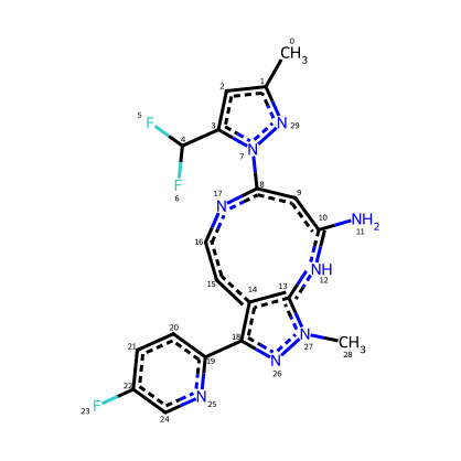 Cc1cc(C(F)F)n(-c2cc(N)[nH]c3c(ccn2)c(-c2ccc(F)cn2)nn3C)n1